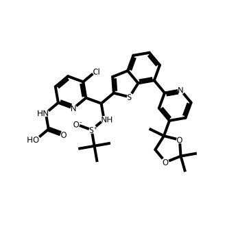 CC1(C)OCC(C)(c2ccnc(-c3cccc4cc(C(N[S+]([O-])C(C)(C)C)c5nc(NC(=O)O)ccc5Cl)sc34)c2)O1